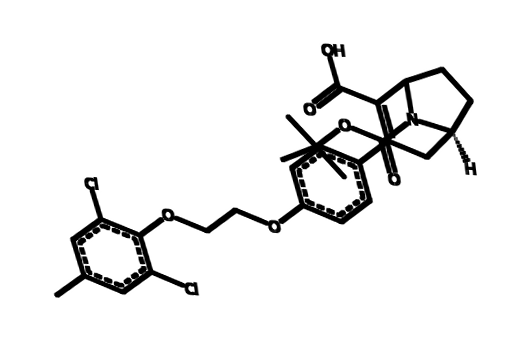 Cc1cc(Cl)c(OCCOc2ccc(C3=C(C(=O)O)C4CC[C@@H](C3)N4C(=O)OC(C)(C)C)cc2)c(Cl)c1